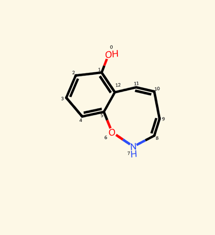 Oc1cccc2o[nH]ccccc12